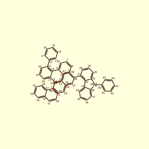 c1ccc(-c2ccccc2-c2c(-c3ccccc3)cccc2N(c2ccc(-c3cccc4c3c3ccccc3n4-c3ccccc3)cc2)c2cccc3ccccc23)cc1